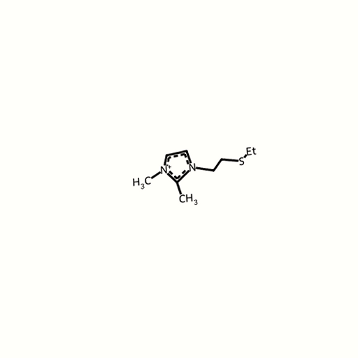 CCSCCn1cc[n+](C)c1C